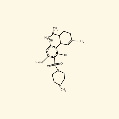 C=C(C)C1CCC(C)=CC1c1c(O)cc(CCCCC)c(S(=O)(=O)N2CCN(C)CC2)c1O